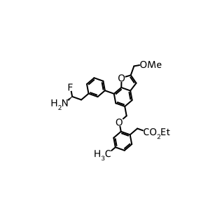 CCOC(=O)Cc1ccc(C)cc1OCc1cc(-c2cccc(C[C@@H](N)F)c2)c2oc(COC)cc2c1